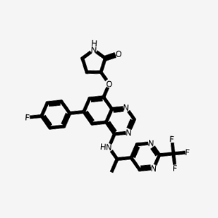 CC(Nc1ncnc2c(OC3CCNC3=O)cc(-c3ccc(F)cc3)cc12)c1cnc(C(F)(F)F)nc1